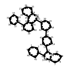 c1ccc(-c2nc3ccccn3c2-c2ccc(-c3cccc(-c4nc5ccccc5c5c(-c6ccccc6)cccc45)c3)cc2)cc1